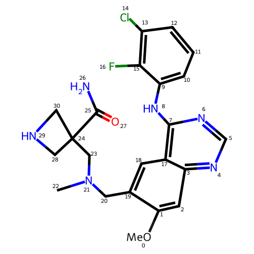 COc1cc2ncnc(Nc3cccc(Cl)c3F)c2cc1CN(C)CC1(C(N)=O)CNC1